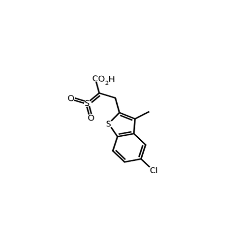 Cc1c(CC(C(=O)O)=S(=O)=O)sc2ccc(Cl)cc12